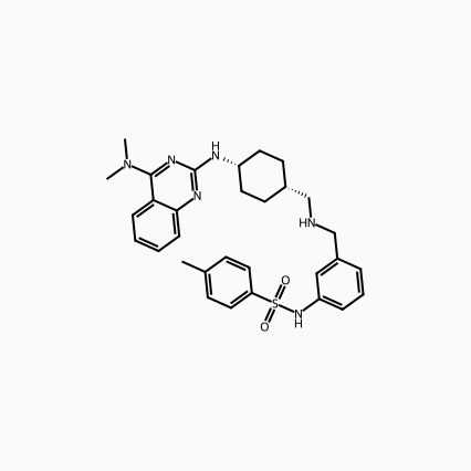 Cc1ccc(S(=O)(=O)Nc2cccc(CNC[C@H]3CC[C@@H](Nc4nc(N(C)C)c5ccccc5n4)CC3)c2)cc1